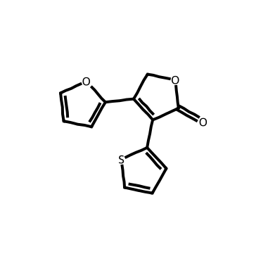 O=C1OCC(c2ccco2)=C1c1cccs1